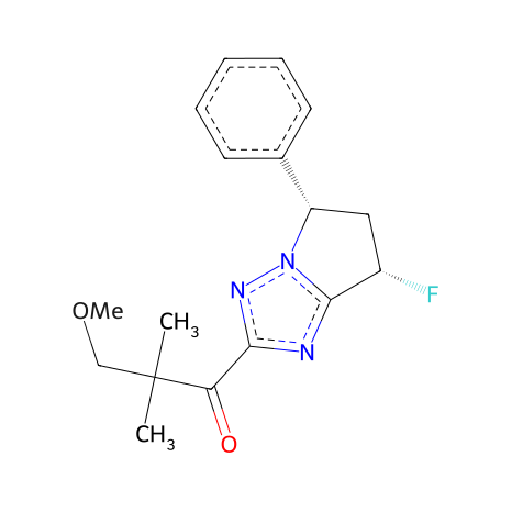 COCC(C)(C)C(=O)c1nc2n(n1)[C@H](c1ccccc1)C[C@@H]2F